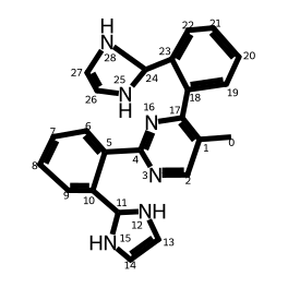 Cc1cnc(-c2ccccc2C2NC=CN2)nc1-c1ccccc1C1NC=CN1